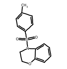 Cc1ccc(S(=O)(=O)N2CCOc3ccccc32)cc1